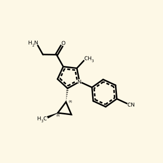 Cc1c(C(=O)CN)cc([C@@H]2C[C@H]2C)n1-c1ccc(C#N)cc1